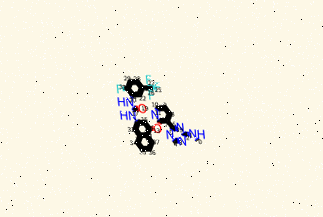 CNc1ncnc(-c2cccnc2Oc2cc(NC(=O)Nc3cc(C(F)(F)F)ccc3F)cc3ccccc23)n1